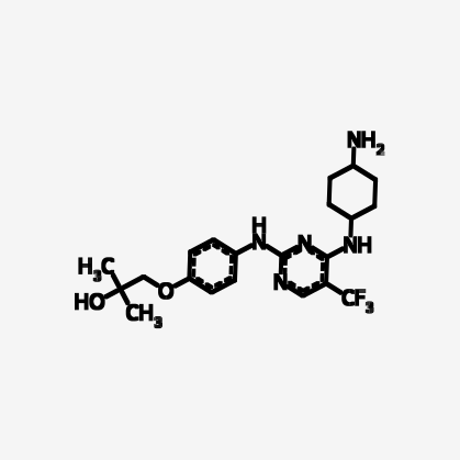 CC(C)(O)COc1ccc(Nc2ncc(C(F)(F)F)c(NC3CCC(N)CC3)n2)cc1